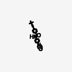 CC(C)(C)C#Cc1ccc(C(=O)Nc2ccc(N3CCOCC3)cc2)cc1